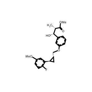 COC(=O)[C@@H](C)[C@@H](O)c1cccc(OC[C@@H]2C[C@H]2c2cc(OC)ccc2F)c1